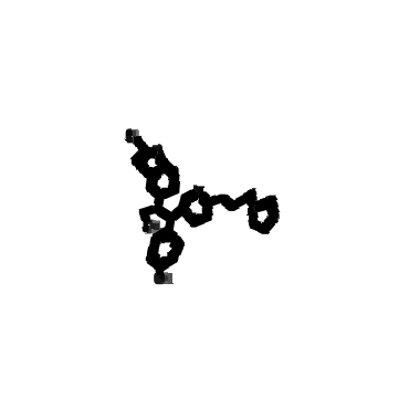 CCC(=C(c1ccc(O)cc1)c1ccc(CCCN2CCCC2)nc1)c1ccc2oc(Cl)cc2c1